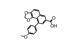 COc1ccc(-c2cc(C(=O)O)cc3ccc4c(c23)OCO4)cc1